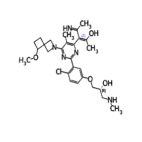 CNC[C@@H](O)COc1ccc(Cl)c(-c2nc(/C(C(C)=N)=C(\C)O)c(C)c(N3CC4(CCC4OC)C3)n2)c1